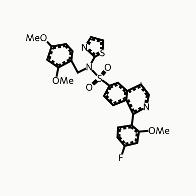 COc1ccc(CN(c2nccs2)S(=O)(=O)c2ccc3c(-c4ccc(F)cc4OC)nc[c]c3c2)c(OC)c1